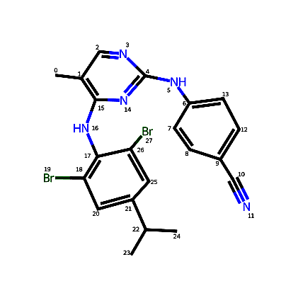 Cc1cnc(Nc2ccc(C#N)cc2)nc1Nc1c(Br)cc(C(C)C)cc1Br